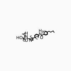 CCCCc1ccc(C(=O)Nc2ccc(-c3cnc(C(=O)NC(C(=O)O)C(C)C)s3)cc2)nc1